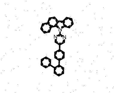 c1ccc(-c2ccccc2-c2ccc(-c3cnc(-n4c5ccccc5c5ccc6ccccc6c54)nc3)cc2)cc1